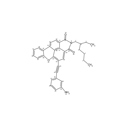 CCCCC(CC)Cn1c(=O)c2ccc3c4ccccc4oc4c(C#Cc5cccc(N)c5)cc(c1=O)c2c43